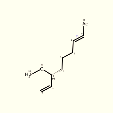 C=C[C@@H](CCC/C=C/C(C)=O)OP